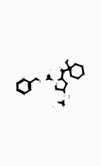 CC(C)(C)OC(=O)NC1CC(C(=O)C2(CN)CCCCC2)N(C(=O)OCc2ccccc2)C1